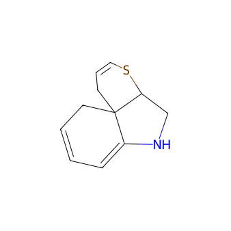 C1=CCC23CC=CSC2CNC3=C1